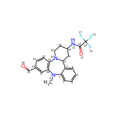 CN1c2ccccc2C2CC(NC(=O)C(F)(F)F)CCN2c2ccc(C=O)cc21